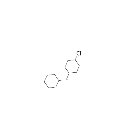 ClC1CCC([CH]C2CCCCC2)CC1